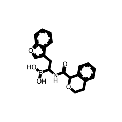 O=C(NC(Cc1coc2ccccc12)B(O)O)C1OCCc2ccccc21